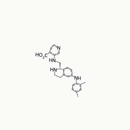 Cc1ccc(Nc2ccc3c(c2)CCN[C@H]3CNc2cnccc2C(=O)O)c(C)c1